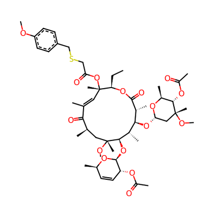 CC[C@H]1OC(=O)[C@H](C)[C@@H](O[C@H]2C[C@@](C)(OC)[C@@H](OC(C)=O)[C@H](C)O2)[C@H](C)[C@@H](O[C@@H]2O[C@H](C)C=C[C@H]2OC(C)=O)[C@](C)(OC)C[C@@H](C)C(=O)/C(C)=C/[C@]1(C)OC(=O)CSCc1ccc(OC)cc1